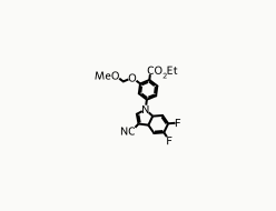 CCOC(=O)c1ccc(N2C=C(C#N)C3C=C(F)C(F)=CC32)cc1OCOC